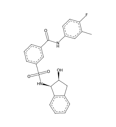 Cc1cc(NC(=O)c2cccc(S(=O)(=O)N[C@@H]3c4ccccc4C[C@@H]3O)c2)ccc1F